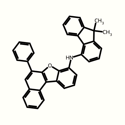 CC1(C)c2ccccc2-c2c(Nc3cccc4c3oc3c(-c5ccccc5)cc5ccccc5c34)cccc21